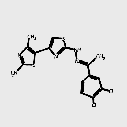 CC(=NNc1nc(-c2sc(N)nc2C)cs1)c1ccc(Cl)c(Cl)c1